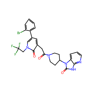 O=C(Cc1cc(-c2ccccc2Br)cn(CC(F)(F)F)c1=O)N1CCC(n2c(=O)[nH]c3ncccc32)CC1